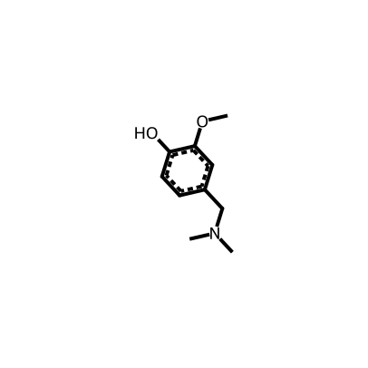 COc1cc(CN(C)C)ccc1O